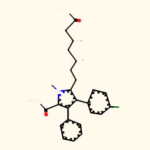 CNC(=O)c1c(-c2ccccc2)c(-c2ccc(F)cc2)c(CC[C@@H](O)C[C@@H](O)CC(=O)OC)n1C(C)C